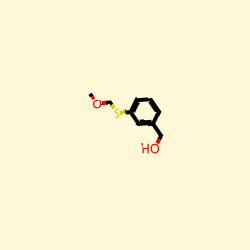 COCSc1cccc(CO)c1